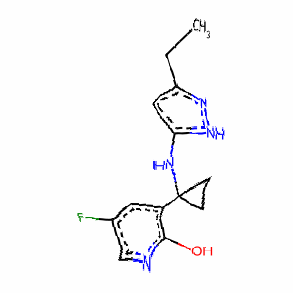 CCc1cc(NC2(c3cc(F)cnc3O)CC2)[nH]n1